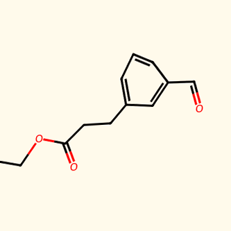 CCOC(=O)CCc1cccc(C=O)c1